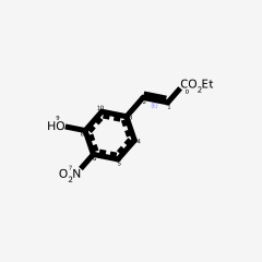 CCOC(=O)/C=C/c1ccc([N+](=O)[O-])c(O)c1